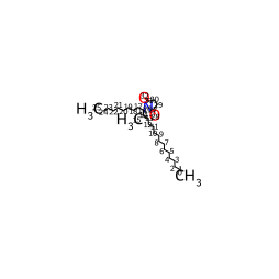 CCCCCCCCCCCCCC=C(C)C(CCCCCCCCC)N1C(=O)CCC1=O